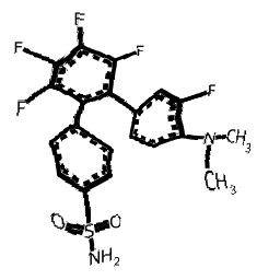 CN(C)c1ccc(-c2c(F)c(F)c(F)c(F)c2-c2ccc(S(N)(=O)=O)cc2)cc1F